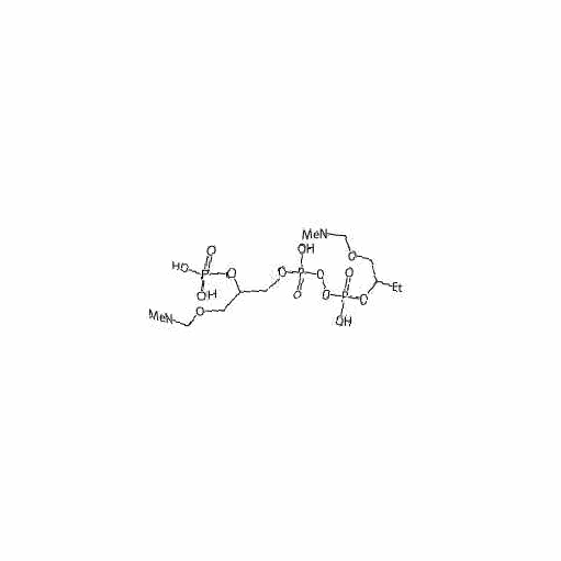 CCC(COCNC)OP(=O)(O)OOP(=O)(O)OCC(COCNC)OP(=O)(O)O